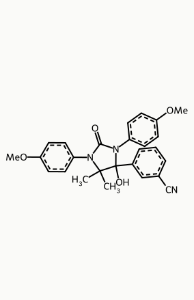 COc1ccc(N2C(=O)N(c3ccc(OC)cc3)C(O)(c3cccc(C#N)c3)C2(C)C)cc1